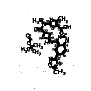 CC(C)(C)OC=O.Cc1nc(-c2ccc3ncnc(NC4CC(C(=O)N(C)c5nc(C)c(C(=O)O)s5)C4)c3c2)no1